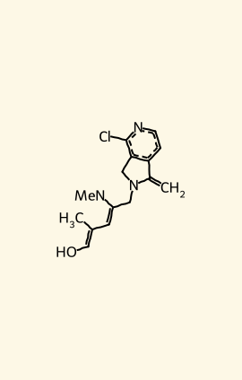 C=C1c2ccnc(Cl)c2CN1C/C(=C/C(C)=C/O)NC